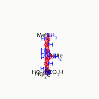 CN[C@@H](CCCCNC(=O)COCCOCCNC(=O)COCCOCCNC(=O)CCCC(=O)NCCCC[C@H](NC(=O)COCCOCCNC(=O)COCCOCCNC(=O)CN1CCN(CC(=O)O)CCN(CC(=O)O)CCN(CC(=O)O)CC1)C(=O)NCCCC[C@H](NC)C(N)=O)C(N)=O